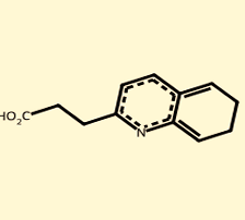 O=C(O)CCc1ccc2c(n1)=CCCC=2